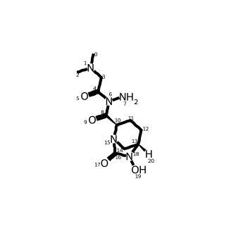 CN(C)CC(=O)N(N)C(=O)[C@H]1CC[C@H]2CN1C(=O)N2O